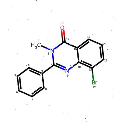 Cn1c(-c2ccccc2)nc2c(Br)cccc2c1=O